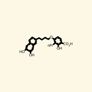 CCCc1c(OCCCCc2ccc3cc(O)c(O)cc3c2)ccc(C(=O)O)c1O